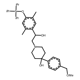 COCc1ccc(C2(O)CCN(CC(O)c3cc(C)c(O[Si](C(C)C)(C(C)C)C(C)C)cc3C)CC2)cc1